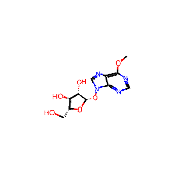 COc1ncnc2c1ncn2O[C@@H]1O[C@H](CO)[C@@H](O)[C@@H]1O